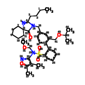 CCCCC1=NC2(CCCCC2)C(=O)N1Cc1ccc(-c2ccccc2S(=O)(=O)N(COC)c2noc(C)c2C)c(COC(C)C)c1